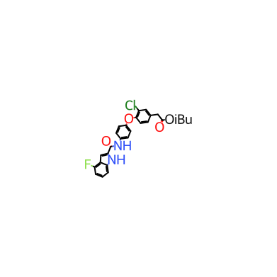 CC(C)COC(=O)Cc1ccc(Oc2ccc(NC(=O)c3cc4c(F)cccc4[nH]3)cc2)c(Cl)c1